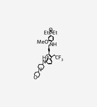 CCP(=O)(CC)c1ccc(NCC#Cc2sc3c(NC4CCN(C5CCOCC5)CC4)cccc3c2CC(F)(F)F)c(OC)c1